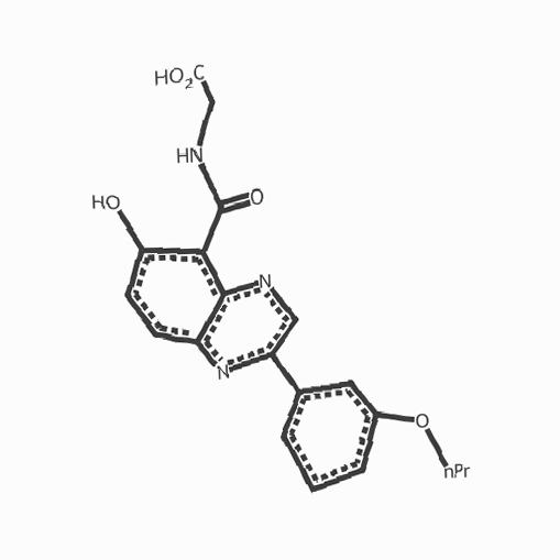 CCCOc1cccc(-c2cnc3c(C(=O)NCC(=O)O)c(O)ccc3n2)c1